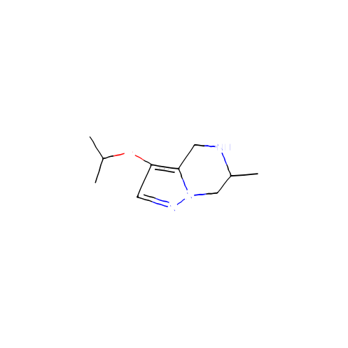 CC1Cn2ncc(OC(C)C)c2CN1